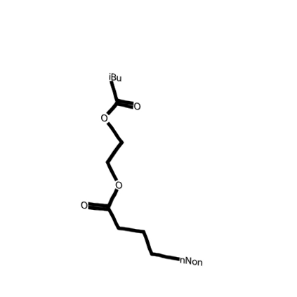 CCCCCCCCCCCCC(=O)OCCOC(=O)C(C)CC